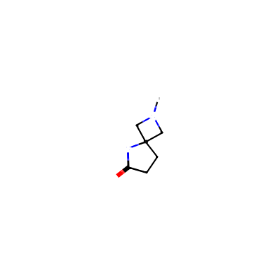 CC(C)N1CC2(CCC(=O)N2)C1